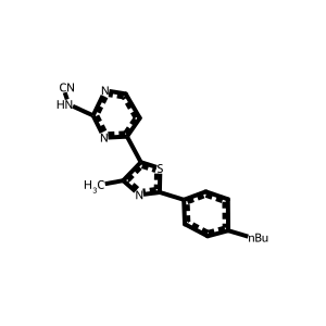 CCCCc1ccc(-c2nc(C)c(-c3ccnc(NC#N)n3)s2)cc1